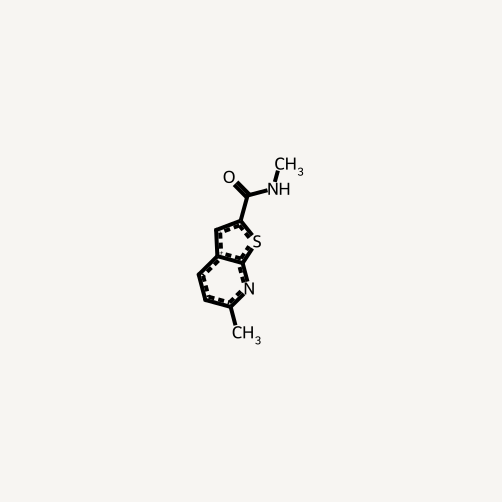 CNC(=O)c1cc2ccc(C)nc2s1